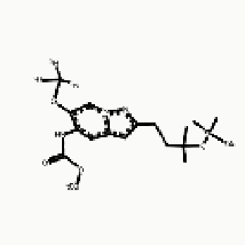 [2H]C([2H])([2H])Oc1cn2nc(CCC(C)(C)O[Si](C)(C)C(C)(C)C)cc2cc1NC(=O)OC(C)(C)C